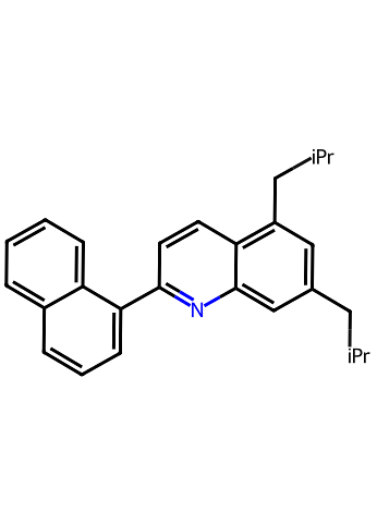 CC(C)Cc1cc(CC(C)C)c2ccc(-c3cccc4ccccc34)nc2c1